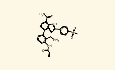 C=CC(=O)Nc1cccc(-c2ccc(C(N)=O)c3[nH]c(-c4ccc(S(C)(=O)=O)cc4)cc23)c1CN